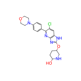 OC1CCC(Oc2nc3nc(-c4ccc(N5CCOCC5)cc4)c(Cl)cc3[nH]2)CN1